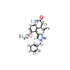 COc1ccc2[nH]c(=O)c3sccc3c2c1-c1cnn(Cc2ccccc2)c1